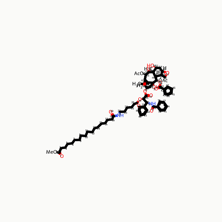 COC(=O)CCCCCCCCCCCCCCCCC(=O)NCCCCCC(=O)O[C@@H](C(=O)O[C@H]1C[C@@]2(O)[C@@H](OC(=O)c3ccccc3)[C@@H]3[C@]4(OC(C)=O)CO[C@@H]4C[C@H](O)[C@@]3(C)C(=O)[C@H](OC(C)=O)C(=C1C)C2(C)C)[C@@H](NC(=O)c1ccccc1)c1ccccc1